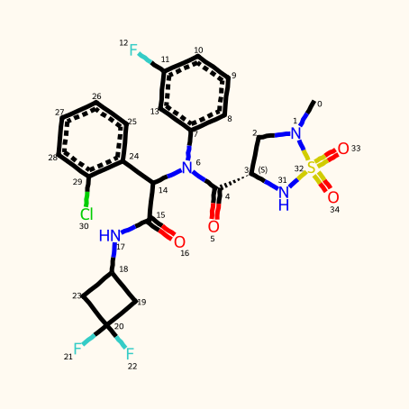 CN1C[C@@H](C(=O)N(c2cccc(F)c2)C(C(=O)NC2CC(F)(F)C2)c2ccccc2Cl)NS1(=O)=O